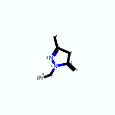 C=C1CC(C)=NN1CC(C)C